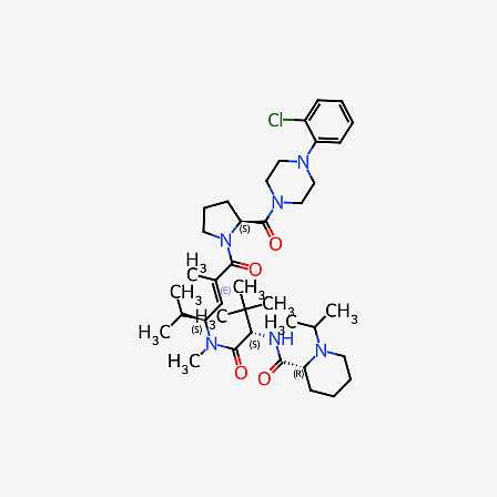 C/C(=C\[C@H](C(C)C)N(C)C(=O)[C@@H](NC(=O)[C@H]1CCCCN1C(C)C)C(C)(C)C)C(=O)N1CCC[C@H]1C(=O)N1CCN(c2ccccc2Cl)CC1